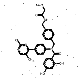 COCC(=O)NCc1ccc(CN(C(=O)c2ccc(O)cc2O)c2ccc(-c3nc(Cl)ncc3C)cc2)cc1